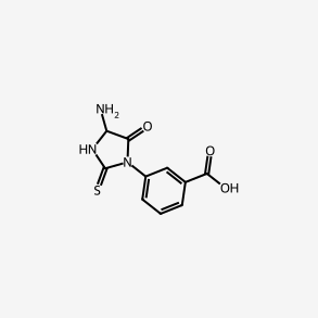 NC1NC(=S)N(c2cccc(C(=O)O)c2)C1=O